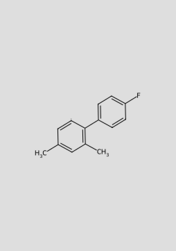 Cc1c[c]c(-c2ccc(F)cc2)c(C)c1